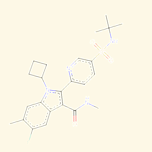 CNC(=O)c1c(-c2ccc(S(=O)(=O)NC(C)(C)C)cn2)n(C2CCC2)c2cc(C)c(F)cc12